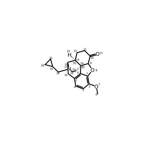 COc1ccc2c3c1OC1C(=O)CC[C@@H]4C(C2)N(CC2CC2)CC[C@@]314